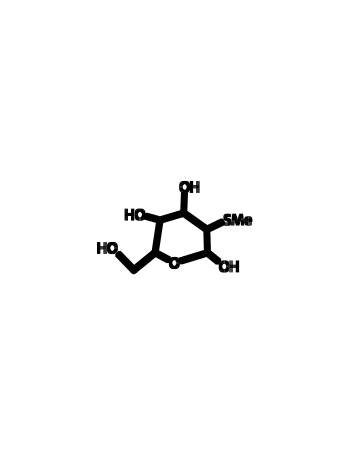 CSC1C(O)OC(CO)C(O)C1O